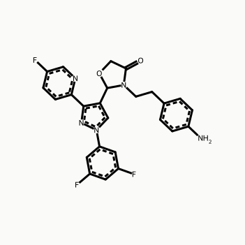 Nc1ccc(CCN2C(=O)COC2c2cn(-c3cc(F)cc(F)c3)nc2-c2ccc(F)cn2)cc1